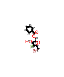 O=C(OC[C@H]1OC(CBr)C(F)C1O)c1ccccc1